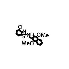 COc1cc(CNc2nc3c(Cl)cccc3s2)c(OC)c2ccccc12